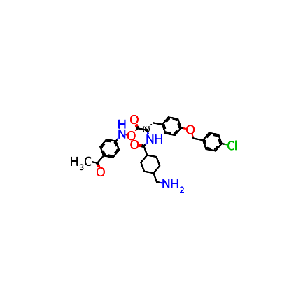 CC(=O)c1ccc(NOC(=O)[C@H](Cc2ccc(OCc3ccc(Cl)cc3)cc2)NC(=O)C2CCC(CN)CC2)cc1